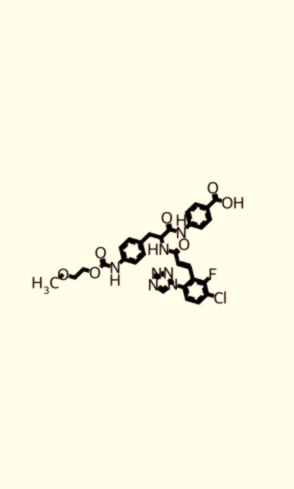 COCCOC(=O)Nc1ccc(CC(NC(=O)C=Cc2c(-n3cnnn3)ccc(Cl)c2F)C(=O)Nc2ccc(C(=O)O)cc2)cc1